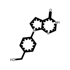 O=c1[nH]cnc2c1ccn2-c1ccc(CO)cc1